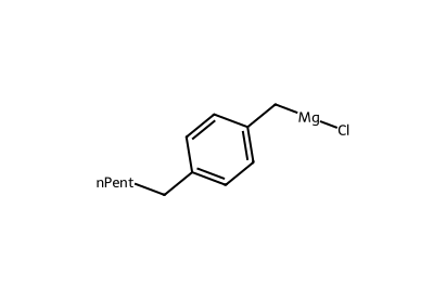 CCCCCCc1ccc([CH2][Mg][Cl])cc1